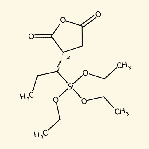 CCO[Si](OCC)(OCC)C(CC)[C@H]1CC(=O)OC1=O